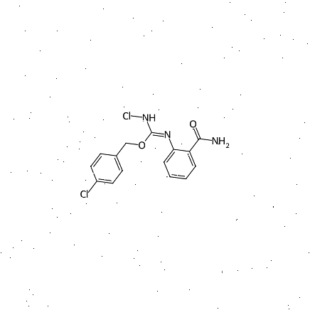 NC(=O)c1cc[c]cc1N=C(NCl)OCc1ccc(Cl)cc1